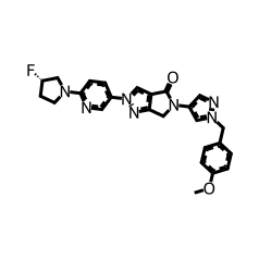 COc1ccc(Cn2cc(N3Cc4nn(-c5ccc(N6CC[C@H](F)C6)nc5)cc4C3=O)cn2)cc1